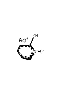 [Ag+].[O-][n+]1ccccc1S